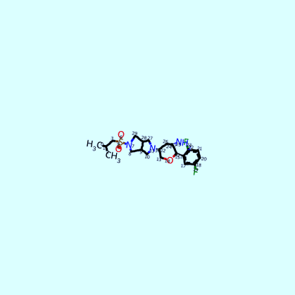 CC(C)CS(=O)(=O)N1CC2CN([C@H]3CO[C@H](c4cc(F)ccc4F)[C@@H](N)C3)CC2C1